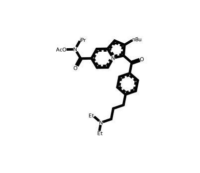 CCCCc1cc2cc(C(=O)N(OC(C)=O)C(C)C)ccn2c1C(=O)c1ccc(CCCN(CC)CC)cc1